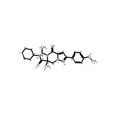 CCN1C(=O)c2cc(-c3ccc(OC)cc3)nn2CC1(C)C(=O)NC1CCCCC1